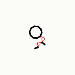 CCOC(C)OC1CCCCCCCCC1